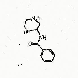 O=C(NC1CNCCN1)c1ccccc1